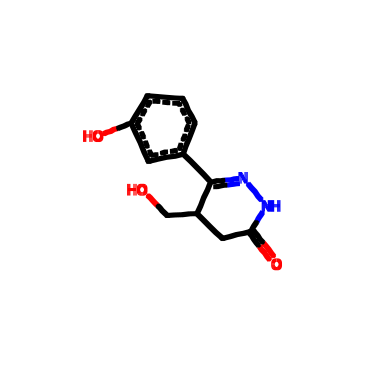 O=C1CC(CO)C(c2cccc(O)c2)=NN1